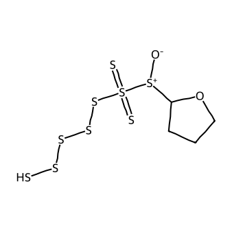 [O-][S+](C1CCCO1)S(=S)(=S)SSSSS